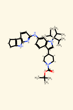 CC(C)[Si](C(C)C)(C(C)C)n1cc(C2CCN(C(=O)OC(C)(C)C)CC2)c2ccc(Nc3ccc4c5c([nH]c4n3)CCC5)cc21